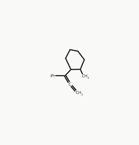 C=C=C([C](C)C)C1CCCCC1C